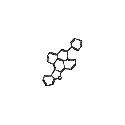 c1ccc(-c2cc3cccc4c5c6ccccc6oc5c5cccc2c5c34)cc1